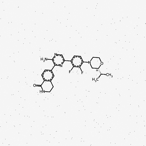 CC(C)[C@@H]1CN(c2ccc(-c3cnc(N)c(-c4ccc5c(c4)CCNC5=O)n3)c(F)c2F)CCO1